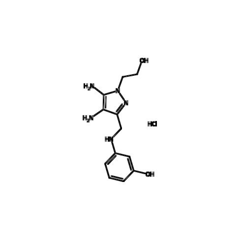 Cl.Nc1c(CNc2cccc(O)c2)nn(CCO)c1N